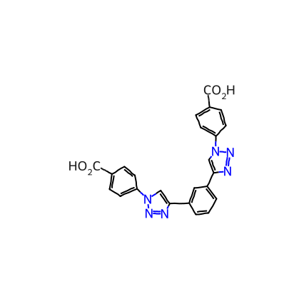 O=C(O)c1ccc(-n2cc(-c3cccc(-c4cn(-c5ccc(C(=O)O)cc5)nn4)c3)nn2)cc1